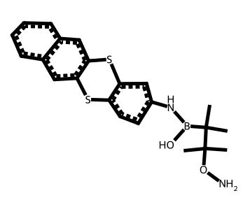 CC(C)(ON)C(C)(C)B(O)Nc1ccc2c(c1)Sc1cc3ccccc3cc1S2